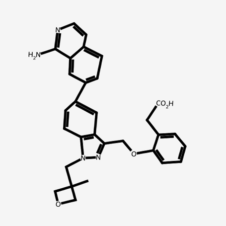 CC1(Cn2nc(COc3ccccc3CC(=O)O)c3cc(-c4ccc5ccnc(N)c5c4)ccc32)COC1